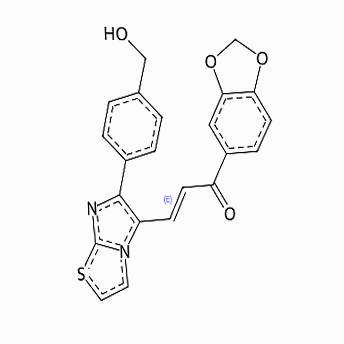 O=C(/C=C/c1c(-c2ccc(CO)cc2)nc2sccn12)c1ccc2c(c1)OCO2